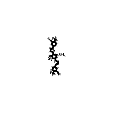 CN1c2c1c(-c1ccc(-c3ccc(C(F)(F)F)c(C#N)c3)s1)c1nsnc1c2-c1ccc(-c2ccc(C(F)(F)F)c(C#N)c2)s1